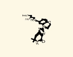 CC1(C)Cc2sc(N3CCOc4ccc(NCC(O)CO)cc43)nc2C(=O)N1